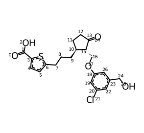 O=C(O)c1ccc(CCC[C@H]2CCC(=O)[C@@H]2COc2cc(Cl)cc(CO)c2)s1